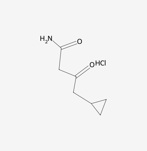 Cl.NC(=O)CC(=O)CC1CC1